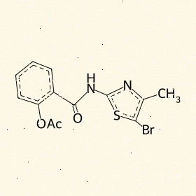 CC(=O)Oc1ccccc1C(=O)Nc1nc(C)c(Br)s1